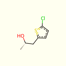 C[C@H](O)Cc1ccc(Cl)s1